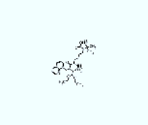 CCOC(OCC)[C@H](C)N(Cc1cccc2cccnc12)C(=O)[C@@H](N)CCCCN(C(=O)O)C(C)(C)C